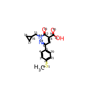 CSc1ccc(-c2cc(C(=O)O)c(=O)n(CC3CC3)n2)cc1